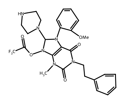 COc1ccccc1N1c2c(n(C)c(=O)n(CCc3ccccc3)c2=O)N(OC(=O)C(F)(F)F)C1N1CCNCC1